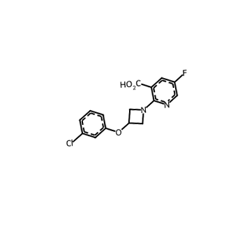 O=C(O)c1cc(F)cnc1N1CC(Oc2cccc(Cl)c2)C1